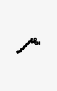 C#CCCCCCCCCC(C)CC(=O)O